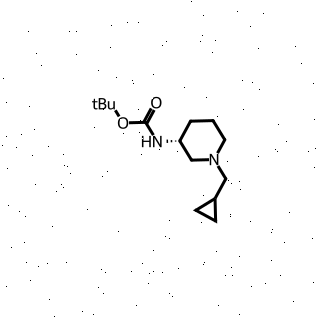 CC(C)(C)OC(=O)N[C@@H]1CCCN(CC2CC2)C1